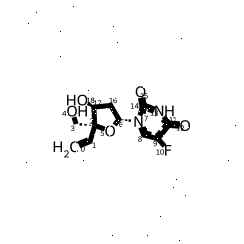 C=C[C@]1(CO)O[C@@H](n2cc(F)c(=O)[nH]c2=O)C[C@@H]1O